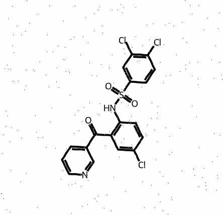 O=C(c1cccnc1)c1cc(Cl)ccc1NS(=O)(=O)c1ccc(Cl)c(Cl)c1